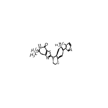 Cc1ccncc1-c1cc2c(cc1C)N(c1nc3c(s1)C(=O)NC(C)(C)C3)CCO2